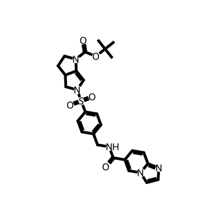 CC(C)(C)OC(=O)N1CCC2CN(S(=O)(=O)c3ccc(CNC(=O)c4ccc5nccn5c4)cc3)C=C21